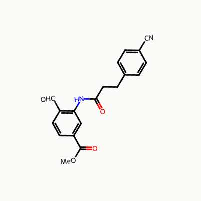 COC(=O)c1ccc(C=O)c(NC(=O)CCc2ccc(C#N)cc2)c1